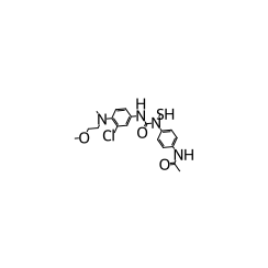 COCCN(C)c1ccc(NC(=O)N(S)c2ccc(NC(C)=O)cc2)cc1Cl